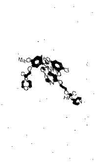 COc1ccc(Cl)c(Oc2c(NS(=O)(=O)c3ccc(OC)c(OCC(=O)N4CCOCC4)c3)ncnc2OCCOC(=O)Nc2ccncc2)c1